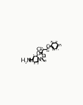 CC[n+]1ccc(N)cc1OC(=O)CCOc1ccccc1.[Cl-]